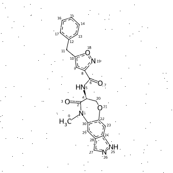 CN1C(=O)[C@@H](NC(=O)c2cc(Cc3ccccc3)on2)COc2cc3[nH]ncc3cc21